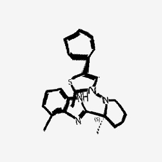 Cc1cccc2[nH]c([C@]3(C)CCCN3N3[C]=C(c4ccccc4)SC3C)nc12